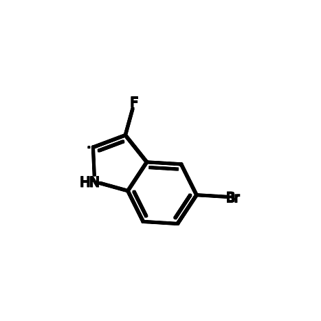 Fc1[c][nH]c2ccc(Br)cc12